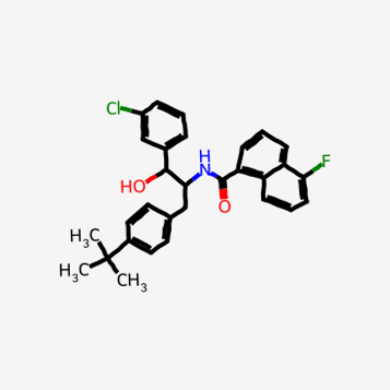 CC(C)(C)c1ccc(CC(NC(=O)c2cccc3c(F)cccc23)C(O)c2cccc(Cl)c2)cc1